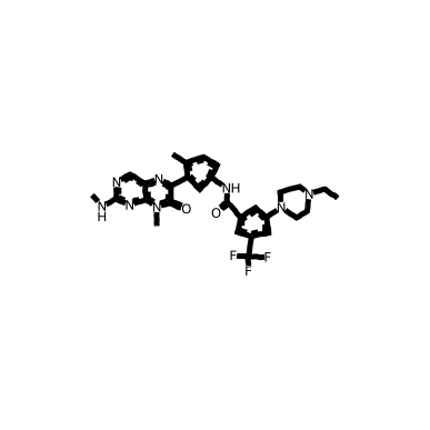 CCN1CCN(c2cc(C(=O)Nc3ccc(C)c(-c4nc5cnc(NC)nc5n(C)c4=O)c3)cc(C(F)(F)F)c2)CC1